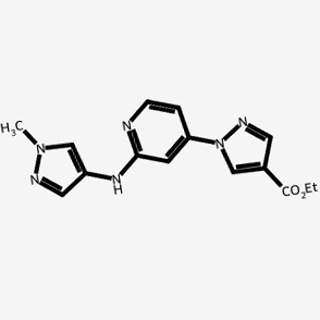 CCOC(=O)c1cnn(-c2ccnc(Nc3cnn(C)c3)c2)c1